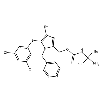 CCCCC(N)(CCCC)NC(=O)OCc1nc(C(C)C)c(Sc2cc(Cl)cc(Cl)c2)n1Cc1ccncc1